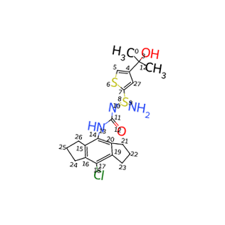 CC(C)(O)c1csc(/S(N)=N/C(=O)Nc2c3c(c(Cl)c4c2CCC4)CCC3)c1